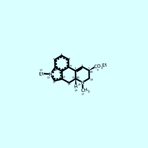 CCOC(=O)[C@@H]1C=C2c3cccc4c3c(cn4CC)C[C@H]2N(C)C1